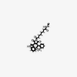 C/C=C(\C1=C(C)CCC=C1)C1=C(c2c[nH]c3ccccc23)C(=O)N(C(=O)CCCCCCC(=O)NN=O)C1=O